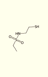 CCS(=O)(=O)NCCS